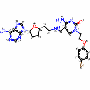 Nc1nc(=O)n(CCOc2ccc(Br)cc2)cc1CNCC[C@@H]1CC[C@H](n2cnc3c(N)ncnc32)O1